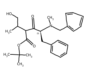 CC(CO)C(C(=O)OC(C)(C)C)C(=O)[C@H](Cc1ccccc1)N(C)Cc1ccccc1